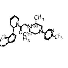 C[C@@H]1CN(c2ccc(C(F)(F)F)nc2)C[C@H](C)N1CC(=O)N1CC=CCC1c1ccc2cccoc1-2